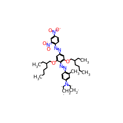 [CH2][CH]N([CH][CH2])c1ccc(/N=N/c2c(OCC(CC)CCCC)cc(/N=N/c3ccc([N+](=O)[O-])cc3[N+](=O)[O-])cc2OCC(CC)CCCC)c(C)c1